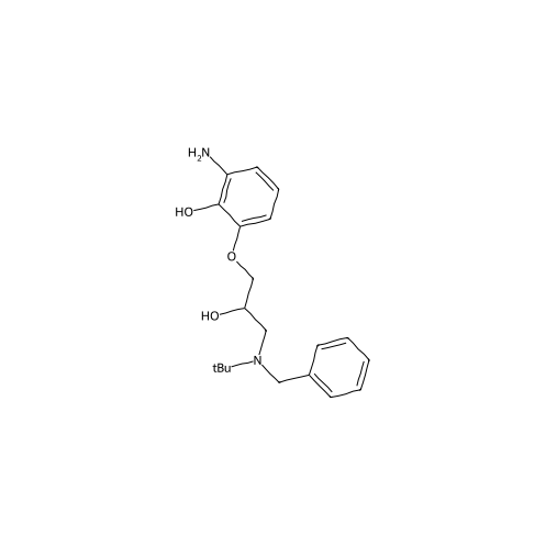 CC(C)(C)N(Cc1ccccc1)CC(O)COc1cccc(N)c1O